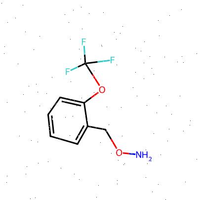 NOCc1ccccc1OC(F)(F)F